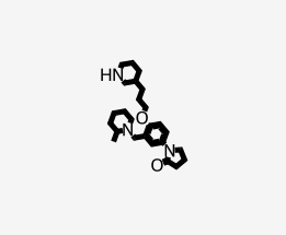 CC1CCCCN1Cc1cc(N2CCCC2=O)ccc1OCCCC1CCCNC1